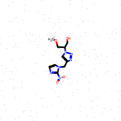 COCC(CO)n1cc(Cn2ccnc2[N+](=O)[O-])nn1